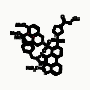 CCOC(=O)c1nc2cccc(-c3ccc(S(=O)(=O)[C@H]4CCN(C(=O)OC(C)(C)C)C4)c(S(=O)(=O)N(Cc4ccc(OC)cc4)Cc4ccc(OC)cc4)c3-c3nnn(Cc4ccc(OC)cc4)n3)c2[nH]1